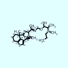 CCCN(C)C(C)C(S)OC/N=C(\C)C1N=C(C2(C)CCCc3scc(C#N)c32)ON1C